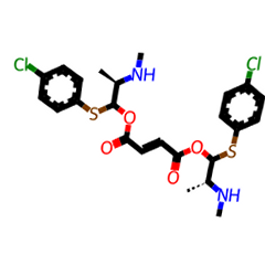 CN[C@H](C)C(OC(=O)/C=C/C(=O)OC(Sc1ccc(Cl)cc1)[C@@H](C)NC)Sc1ccc(Cl)cc1